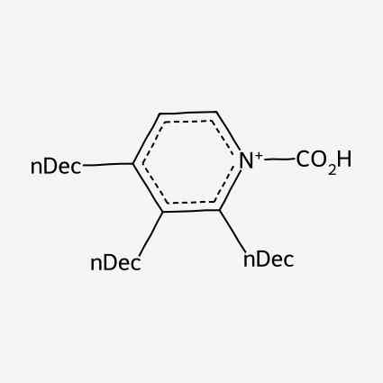 CCCCCCCCCCc1cc[n+](C(=O)O)c(CCCCCCCCCC)c1CCCCCCCCCC